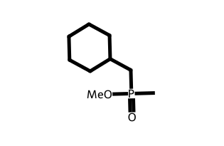 COP(C)(=O)CC1CCCCC1